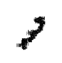 O=C(C(CO)N1CCN(Cc2ccc(-c3cc4ncnc(NC(CO)c5ccccc5)c4s3)cn2)CC1)C(CO)N1CCN(Cc2ccc(-c3cc4ncnc(NC(CO)c5ccccc5)c4s3)cn2)CC1